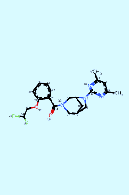 Cc1cc(C)nc(N2CC3CC2CN(C(=O)c2ccccc2OCC(F)F)C3)n1